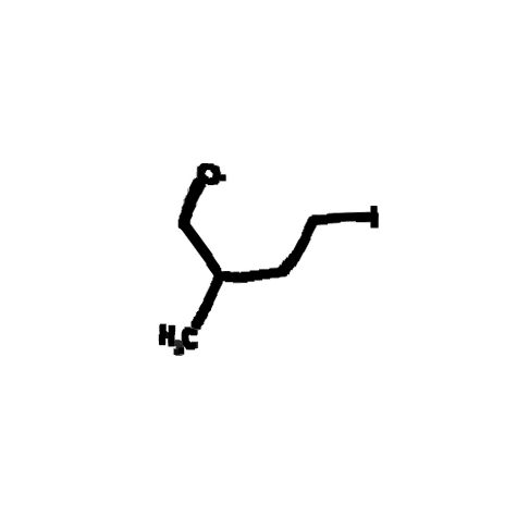 CC(C[O])CCI